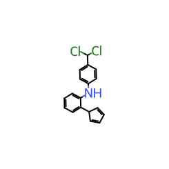 ClC(Cl)c1ccc(Nc2ccccc2C2C=CC=C2)cc1